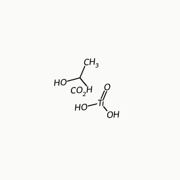 CC(O)C(=O)O.[O]=[Ti]([OH])[OH]